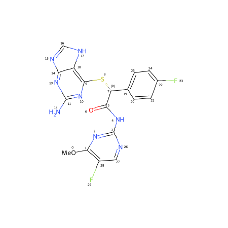 COc1nc(NC(=O)[C@H](Sc2nc(N)nc3nc[nH]c23)c2ccc(F)cc2)ncc1F